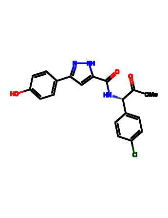 COC(=O)[C@@H](NC(=O)c1cc(-c2ccc(O)cc2)n[nH]1)c1ccc(Cl)cc1